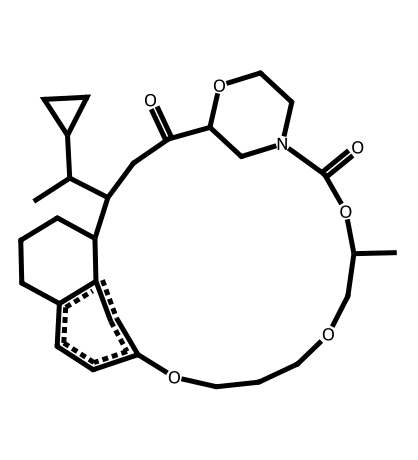 CC1COCCCOc2ccc3c(c2)C(CCC3)C(C(C)C2CC2)CC(=O)C2CN(CCO2)C(=O)O1